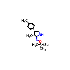 Cc1ccc([C@@H]2CN/C(=N\O[Si](C)(C)C(C)(C)C)[C@H]2C)cc1